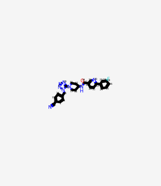 N#Cc1ccc(Cn2nnnc2N2CCC(NC(=O)c3ccc(-c4cccc(F)c4)nc3)CC2)cc1